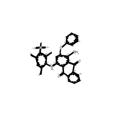 Cc1cc(C)c(S(C)(=O)=O)c(C)c1Nc1cc(Oc2ccccc2)c(N)c2c1C(=O)c1ccccc1C2=O